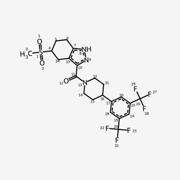 CS(=O)(=O)C1CCc2[nH]nc(C(=O)N3CCC(c4cc(C(F)(F)F)cc(C(F)(F)F)c4)CC3)c2C1